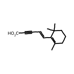 CC1=C(C=CC#CC(=O)O)C(C)(C)CCC1